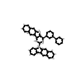 c1ccc(-c2cccc(-c3nc(-n4c5ccccc5c5cc6ccccc6cc54)nc4c3oc3cc5ccccc5cc34)c2)cc1